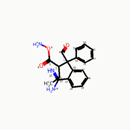 CCC(C(=O)ON)C(C=O)(c1ccccc1)c1ccccc1C(=N)N